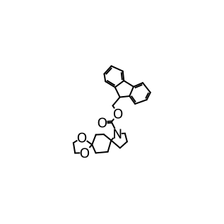 O=C(OCC1c2ccccc2-c2ccccc21)N1CCCC12CCC1(CC2)OCCO1